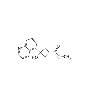 COC(=O)C1CC(O)(c2cccc3ncccc23)C1